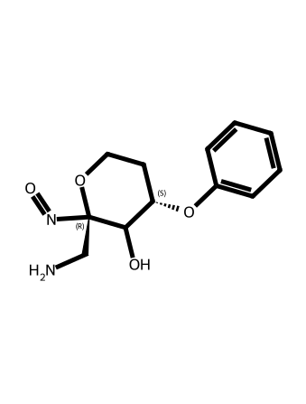 NC[C@@]1(N=O)OCC[C@H](Oc2ccccc2)C1O